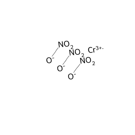 O=[N+]([O-])[O-].O=[N+]([O-])[O-].O=[N+]([O-])[O-].[Cr+3]